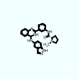 CN1CCC[C@H]1C(=O)Nc1cccc(C2=Nc3ccccc3C(Nc3ccc4[nH]ncc4c3)N2)c1